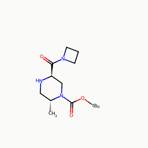 C[C@@H]1CN[C@@H](C(=O)N2CCC2)CN1C(=O)OC(C)(C)C